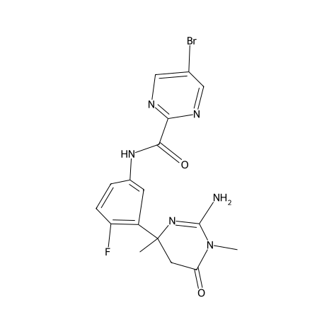 CN1C(=O)CC(C)(c2cc(NC(=O)c3ncc(Br)cn3)ccc2F)N=C1N